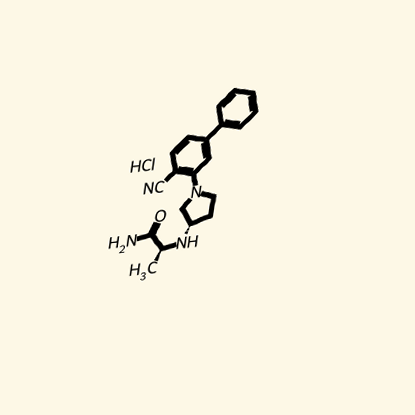 C[C@H](N[C@H]1CCN(c2cc(-c3ccccc3)ccc2C#N)C1)C(N)=O.Cl